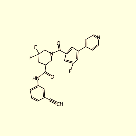 C#Cc1cccc(NC(=O)C2CN(C(=O)c3cc(F)cc(-c4ccncc4)c3)CC(F)(F)C2)c1